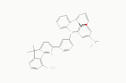 COc1cccc2c1-c1nc(-c3cccc(N(c4cc(N(C)C)ccn4)c4ccccc4-c4ccccc4)c3)ccc1C2(C)C